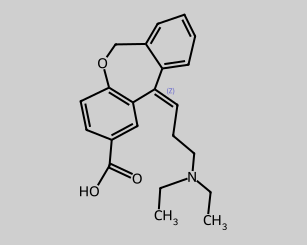 CCN(CC)CC/C=C1/c2ccccc2COc2ccc(C(=O)O)cc21